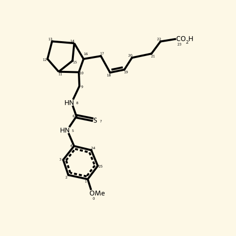 COc1ccc(NC(=S)NCC2C3CCC(C3)C2C/C=C\CCCC(=O)O)cc1